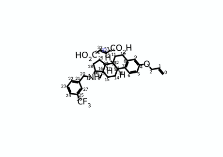 C=CCOc1ccc2c(c1)CC[C@@H]1[C@@H]2CC[C@]2(C)[C@@H](NCc3cccc(C(F)(F)F)c3)CC[C@@H]12.O=C(O)/C=C/C(=O)O